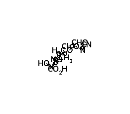 Cc1c(COc2cc(OCc3cncc(C#N)c3)c(C=O)cc2Cl)cccc1-c1cccc(-c2cnc3cc(CN(CCO)C(=O)O)ccn3c2=O)c1C